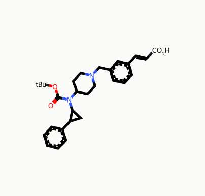 CC(C)(C)OC(=O)N(C1CCN(Cc2cccc(C=CC(=O)O)c2)CC1)C1CC1c1ccccc1